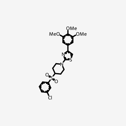 COc1cc(-c2csc(N3CCC(S(=O)(=O)c4cccc(Cl)c4)CC3)n2)cc(OC)c1OC